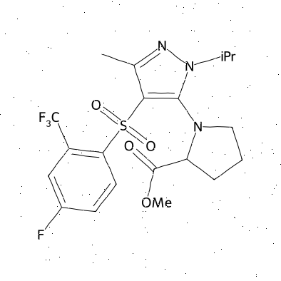 COC(=O)C1CCCN1c1c(S(=O)(=O)c2ccc(F)cc2C(F)(F)F)c(C)nn1C(C)C